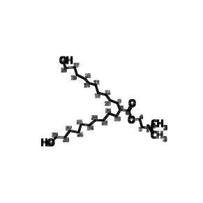 CN(C)CCOC(=O)C(CCCCCCCCCCO)CCCCCCCCCCO